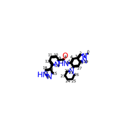 Cn1cc2cc(NC(=O)c3cccc(-c4cn[nH]c4)n3)c(N3CCCCC3)cc2n1